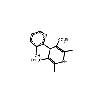 CCOC(=O)C1=C(C)NC(C)=C(C(=O)OCC)C1c1ncccc1O